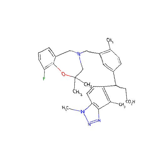 Cc1ccc(C(CC(=O)O)c2ccc3c(nnn3C)c2C)cc1CN1Cc2cccc(F)c2OC(C)(C)C1